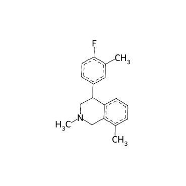 Cc1cc(C2CN(C)Cc3c(C)cccc32)ccc1F